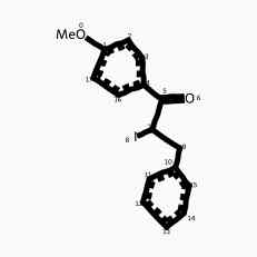 COc1ccc(C(=O)C(I)Cc2ccccc2)cc1